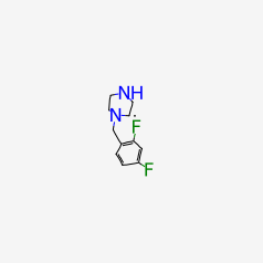 Fc1ccc(CN2[CH]CNCC2)c(F)c1